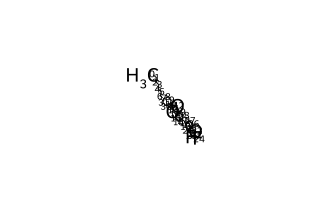 CCCCCCC[C@H]1CC[C@H](C(=O)Oc2ccc(-c3ccc(OC(F)F)cc3)cc2)CC1